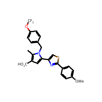 COc1ccc(-c2nc(-c3cc(C(=O)O)c(C)n3Cc3ccc(OC(F)(F)F)cc3)cs2)cc1